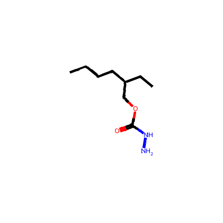 CCCCC(CC)COC(=O)NN